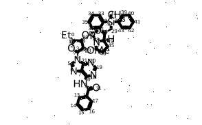 CC[C@H]1O[C@@H](n2cnc3c(NC(=O)c4ccccc4)ncnc32)[C@@H](OC)C1O[P@]1O[C@@H](C[Si](C)(c2ccccc2)c2ccccc2)[C@H]2CCCN21